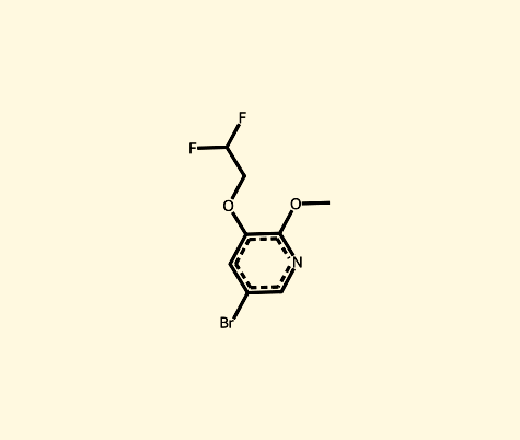 COc1ncc(Br)cc1OCC(F)F